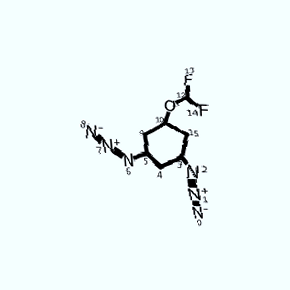 [N-]=[N+]=NC1CC(N=[N+]=[N-])CC(OC(F)F)C1